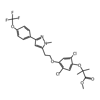 COC(=O)C(C)(C)Oc1cc(Cl)c(OCCc2cc(-c3ccc(OC(F)(F)F)cc3)nn2C)cc1Cl